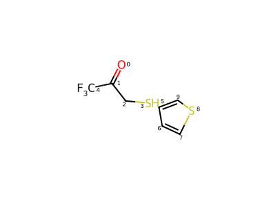 O=C(CS)C(F)(F)F.c1ccsc1